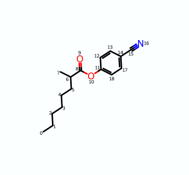 CCCCCCC(C)C(=O)Oc1ccc(C#N)cc1